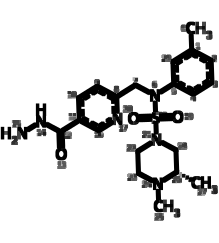 Cc1cccc(N(Cc2ccc(C(=O)NN)cn2)S(=O)(=O)N2CCN(C)[C@@H](C)C2)c1